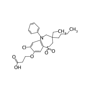 CCCCC1(CC)CN(c2ccccc2)c2cc(Cl)c(OCCC(=O)O)cc2S(=O)(=O)C1